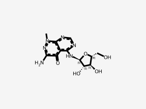 Cn1nc(N)c(=O)c2c(N[C@H]3O[C@H](CO)[C@@H](O)[C@@H]3O)ncnc21